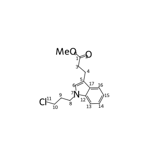 COC(=O)CCc1cn(CCCCl)c2ccccc12